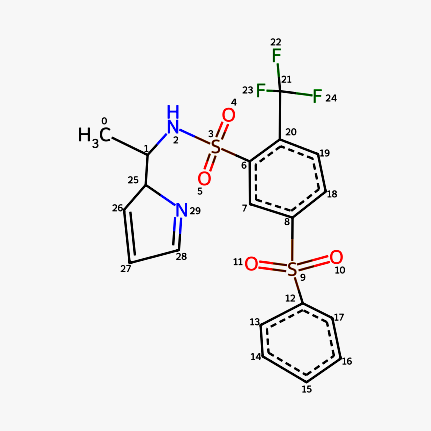 CC(NS(=O)(=O)c1cc(S(=O)(=O)c2ccccc2)ccc1C(F)(F)F)C1C=CC=N1